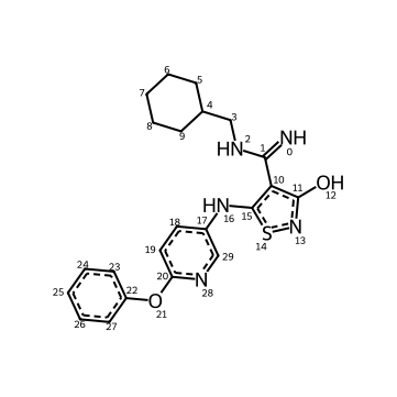 N=C(NCC1CCCCC1)c1c(O)nsc1Nc1ccc(Oc2ccccc2)nc1